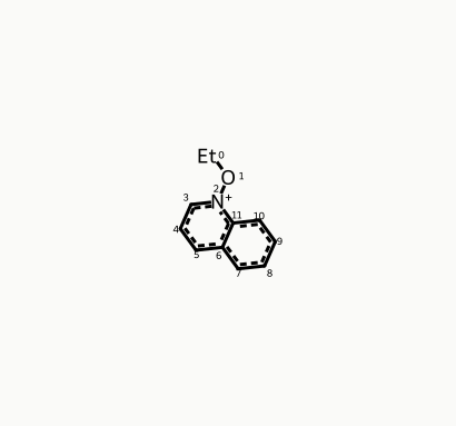 CCO[n+]1cccc2ccccc21